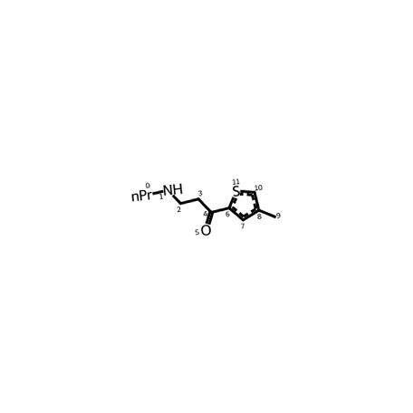 CCCNCCC(=O)c1cc(C)cs1